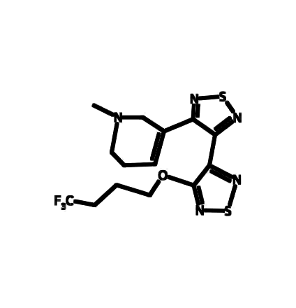 CN1CCC=C(c2nsnc2-c2nsnc2OCCCC(F)(F)F)C1